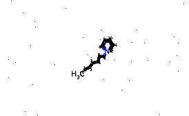 CCCCCCC[n+]1ccccc1